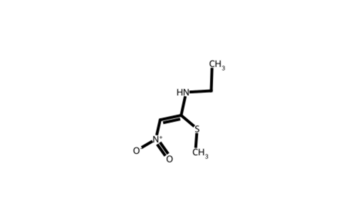 CCNC(=C[N+](=O)[O-])SC